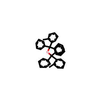 Cc1ccccc1C(OC(c1ccccc1)(c1ccccc1)c1ccccc1C)(c1ccccc1)c1ccccc1